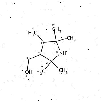 CC1C(CO)C(C)(C)NC1(C)C